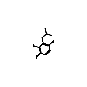 CC(C)Cc1c(I)ccc(I)c1I